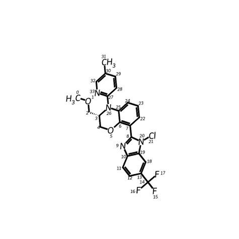 COC[C@H]1COc2c(-c3nc4ccc(C(F)(F)F)cc4n3Cl)cccc2N1c1ccc(C)cn1